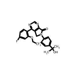 CC(C)(O)c1ccc(N2Cc3c(ncnc3-c3ccc(F)cc3OCC(F)(F)F)C2=O)cc1